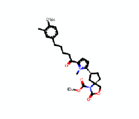 COc1ccc(CCCCC(=O)c2ccc([C@H]3CC[C@]4(COC(=O)N4C(=O)OC(C)(C)C)C3)n2C)cc1C